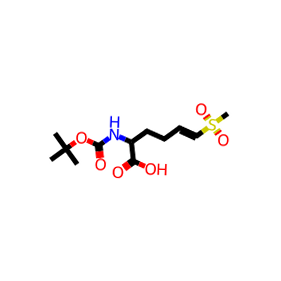 CC(C)(C)OC(=O)NC(CCC=CS(C)(=O)=O)C(=O)O